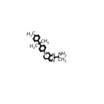 Cc1ccc(C(C)(C)c2ccc(N3CCc4cnc(C(C)N)nc4C3)cc2)cc1